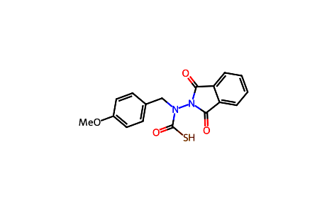 COc1ccc(CN(C(=O)S)N2C(=O)c3ccccc3C2=O)cc1